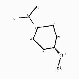 CCO[C@H]1CC[C@H](C(C)I)CC1